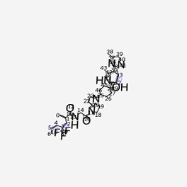 C=C(/C=C(\C=C/C)C(F)(F)F)C(=O)NCC(=O)N1CCC2C1CCN2C1CCC(O)(C(=N)/C=C\C(C2=NC(C)CC=N2)C(C)C)CC1